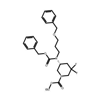 CC(C)(C)OC(=O)N1C[C@H](N(CCCOCc2ccccc2)C(=O)OCc2ccccc2)CC(F)(F)C1